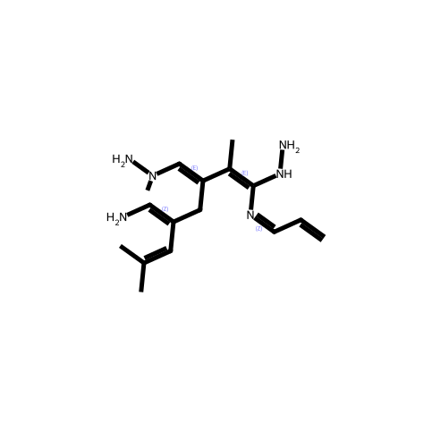 C=C\C=N/C(NN)=C(C)\C(=C\N(C)N)C/C(C=C(C)C)=C/N